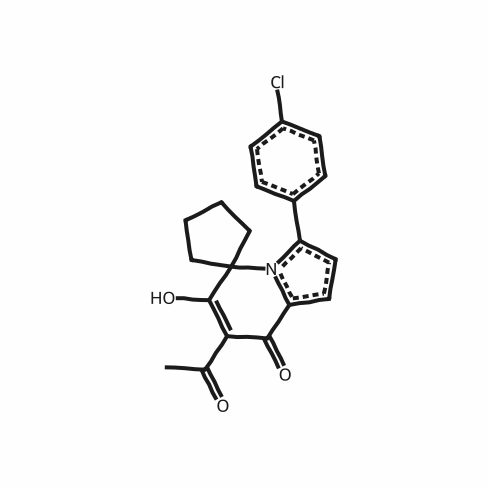 CC(=O)C1=C(O)C2(CCCC2)n2c(ccc2-c2ccc(Cl)cc2)C1=O